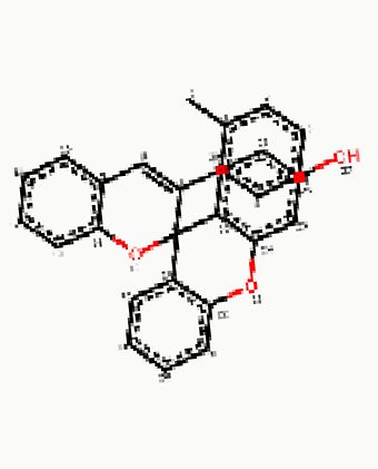 Cc1ccccc1C1=Cc2ccccc2OC12c1ccccc1Oc1cc(O)ccc12